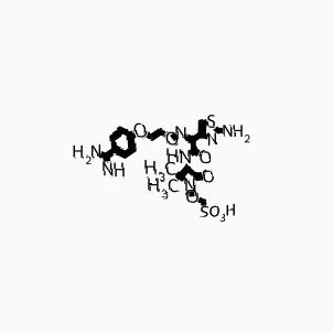 CC1(C)[C@H](NC(=O)/C(=N\OCCOc2ccc(C(=N)N)cc2)c2csc(N)n2)C(=O)N1OCS(=O)(=O)O